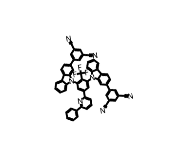 N#Cc1cc(C#N)cc(-c2ccc3c4ccccc4n(-c4cc(-c5cccc(-c6ccccc6)n5)cc(-n5c6ccccc6c6ccc(-c7cc(C#N)cc(C#N)c7)cc65)c4C(F)(F)F)c3c2)c1